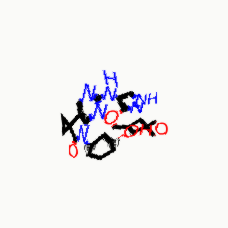 O=C1N([C@@H]2CCC[C@@H](O)C2)c2nc(Nc3c[nH]nc3OCC3CC4(COC4)C3)ncc2C12CC2